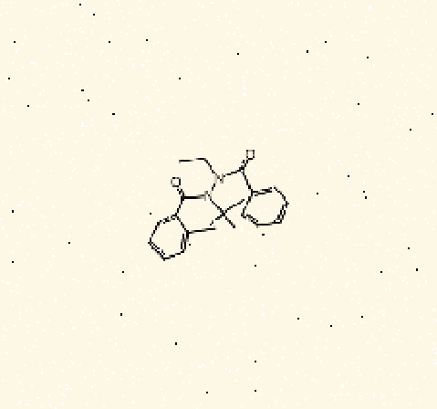 CCN(C(=O)c1ccccc1)N(C(=O)c1ccccc1C)C(C)(C)C